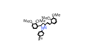 COc1cccc(C=CC2=NN(c3ccc(C(C)C)cc3)C(c3cccc(OC)c3OC)C2)c1OC